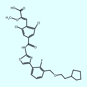 CO/C(=C\c1c(Cl)cc(C(=O)Nc2nc(-c3cccc(COCCC4CCCC4)c3F)cs2)cc1Cl)C(=O)O